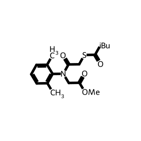 CCC(C)C(=O)SCC(=O)N(CC(=O)OC)c1c(C)cccc1C